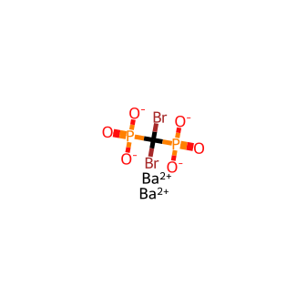 O=P([O-])([O-])C(Br)(Br)P(=O)([O-])[O-].[Ba+2].[Ba+2]